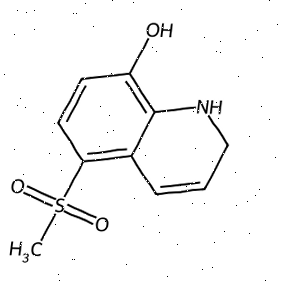 CS(=O)(=O)c1ccc(O)c2c1C=CCN2